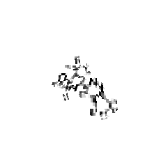 COC1c2c(ccc(F)c2C)C(c2cc3ccccc3nn2)=NC1(C)C